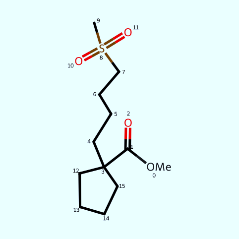 COC(=O)C1(CCCCS(C)(=O)=O)CCCC1